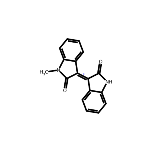 CN1C(=O)/C(=C2/C(=O)Nc3ccccc32)c2ccccc21